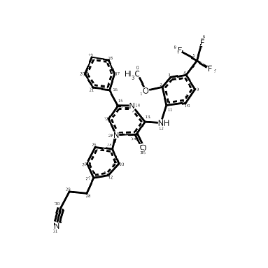 COc1cc(C(F)(F)F)ccc1Nc1nc(-c2ccccc2)cn(-c2ccc(CCC#N)cc2)c1=O